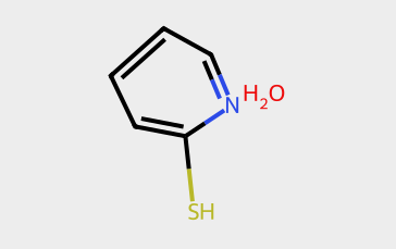 O.Sc1ccccn1